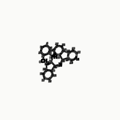 Cc1ccccc1PC1=Cc2ccccc2[CH]1[Ti][CH]1c2ccccc2-c2ccccc21